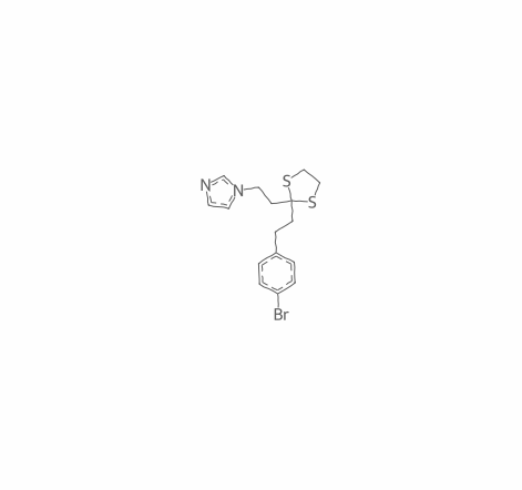 Brc1ccc(CCC2(CCn3ccnc3)SCCS2)cc1